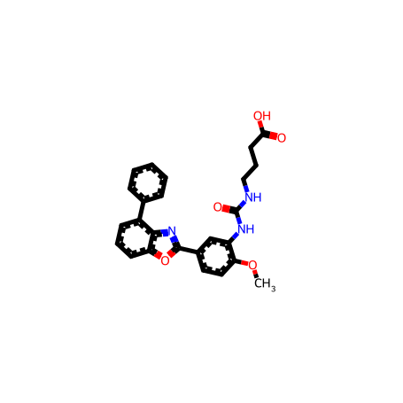 COc1ccc(-c2nc3c(-c4ccccc4)cccc3o2)cc1NC(=O)NCCCC(=O)O